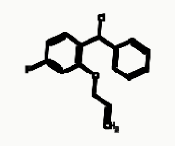 C=CCOc1cc(F)ccc1C(Cl)c1ccccc1